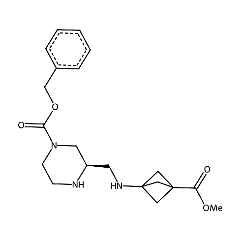 COC(=O)C12CC(NC[C@@H]3CN(C(=O)OCc4ccccc4)CCN3)(C1)C2